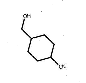 N#CC1CCC(CO)CC1